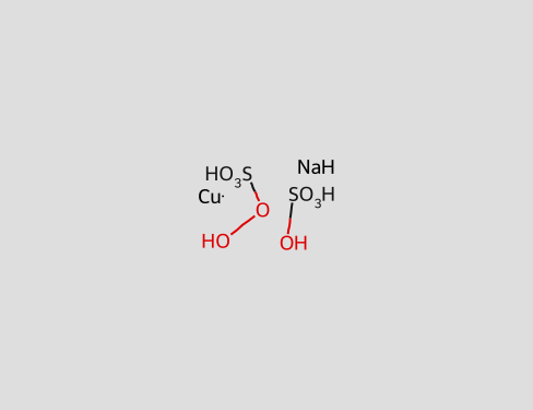 O=S(=O)(O)O.O=S(=O)(O)OO.[Cu].[NaH]